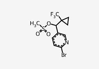 CS(=O)(=O)OC(c1ccc(Br)nc1)C1(C(F)(F)F)CC1